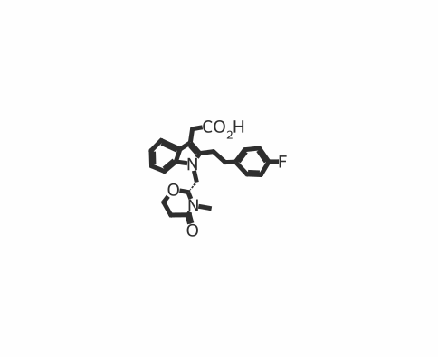 CN1C(=O)CCO[C@@H]1Cn1c(CCc2ccc(F)cc2)c(CC(=O)O)c2ccccc21